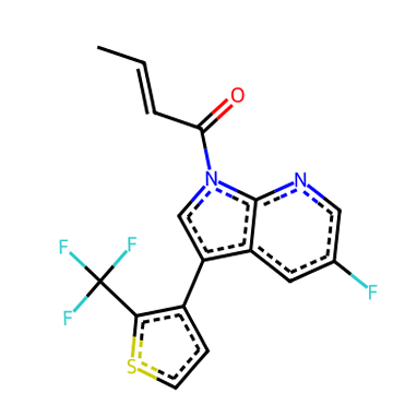 C/C=C/C(=O)n1cc(-c2ccsc2C(F)(F)F)c2cc(F)cnc21